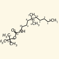 CCCCC[N+](C)(C)CCCNC(=O)OC(C)(C)C